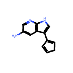 Nc1cnc2[nH]cc(C3=CCC=C3)c2c1